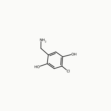 NCc1cc(O)c(Cl)cc1O